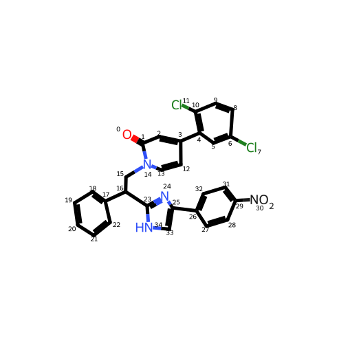 O=c1cc(-c2cc(Cl)ccc2Cl)ccn1CC(c1ccccc1)c1nc(-c2ccc([N+](=O)[O-])cc2)c[nH]1